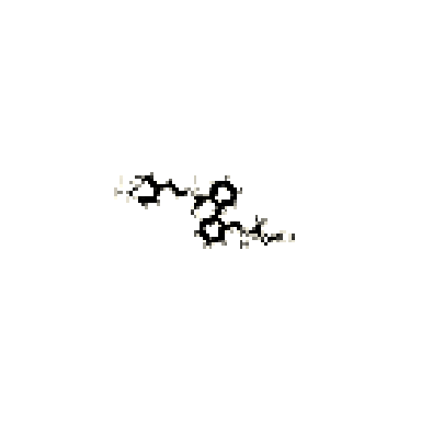 C/C=C\C(=C/C)CCNC(=O)c1ccccc1-c1ccccc1CNC(=O)OC(C)(C)C